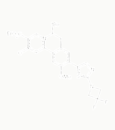 CCOC(=O)c1cn2c(cc1=O)-c1cc(OC)c(-c3cnc(N4CC(F)(F)C4)s3)cc1CC2C(C)(C)C